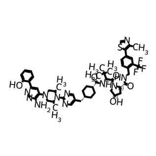 Cc1ncsc1-c1ccc(CNC(=O)[C@@H]2C[C@@H](O)CN2C(=O)[C@@H](NC(=O)[C@H]2CC[C@@H](Cc3cnc(N4C(C)CN(c5cc(-c6ccccc6O)nnc5N)CC4C)nc3)CC2)C(C)(C)C)c(C(F)(F)F)c1